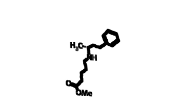 COC(=O)CCCCN[C@H](C)CCc1ccccc1